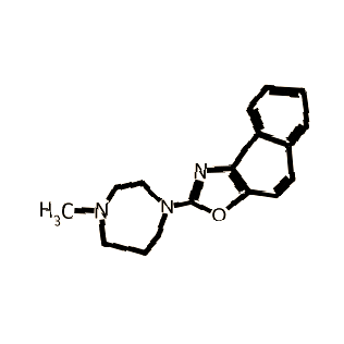 CN1CCCN(c2nc3c(ccc4ccccc43)o2)CC1